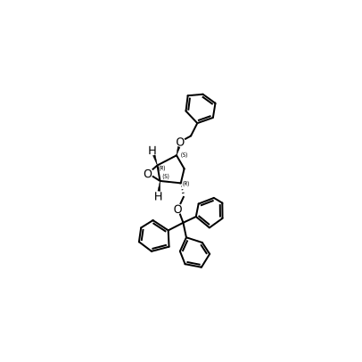 c1ccc(CO[C@H]2C[C@H](COC(c3ccccc3)(c3ccccc3)c3ccccc3)[C@@H]3O[C@@H]32)cc1